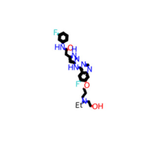 CCN(CCO)CCCOc1cc2ncnc(Nc3cc(CC(=O)Nc4cccc(F)c4)[nH]n3)c2cc1F